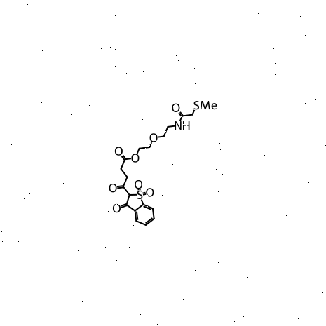 CSCC(=O)NCCOCCOC(=O)CCC(=O)C1C(=O)c2ccccc2S1(=O)=O